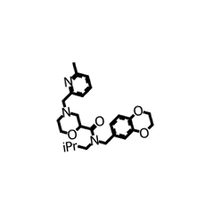 Cc1cccc(CN2CCOC(C(=O)N(Cc3ccc4c(c3)OCCO4)CC(C)C)C2)n1